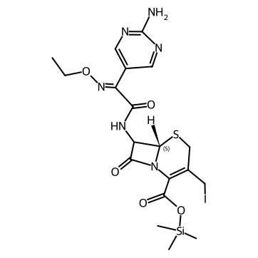 CCON=C(C(=O)NC1C(=O)N2C(C(=O)O[Si](C)(C)C)=C(CI)CS[C@@H]12)c1cnc(N)nc1